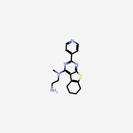 CN(CCN)c1nc(-c2ccncc2)nc2sc3c(c12)CCCC3